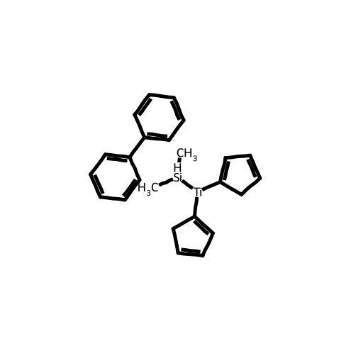 C[SiH](C)[Ti]([C]1=CC=CC1)[C]1=CC=CC1.c1ccc(-c2ccccc2)cc1